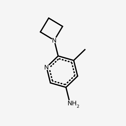 Cc1cc(N)cnc1N1CCC1